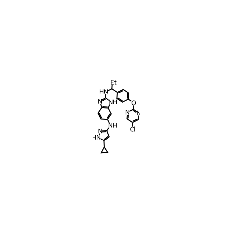 CCC(Nc1nc2ccc(Nc3cc(C4CC4)[nH]n3)cc2[nH]1)c1ccc(Oc2ncc(Cl)cn2)cc1